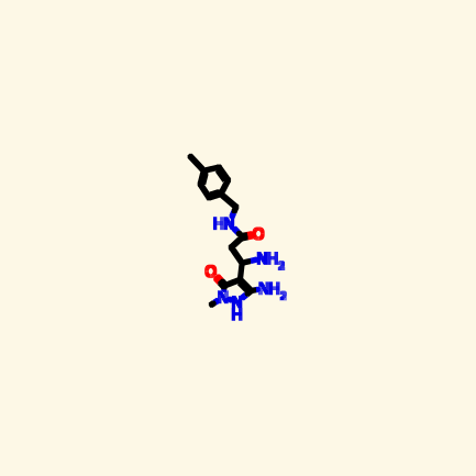 Cc1ccc(CNC(=O)CC(N)c2c(N)[nH]n(C)c2=O)cc1